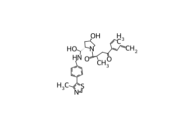 C=C/C=C(\C=C/C)C(=O)CC(C)C(=O)N1C[C@H](O)C[C@H]1C(O)NCc1ccc(-c2scnc2C)cc1